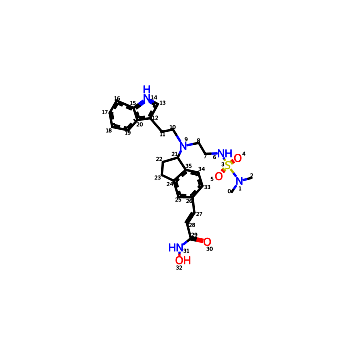 CN(C)S(=O)(=O)NCCN(CCc1c[nH]c2ccccc12)C1CCc2cc(C=CC(=O)NO)ccc21